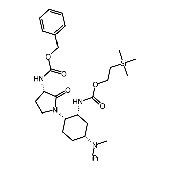 CC(C)N(C)[C@@H]1CC[C@H](N2CC[C@H](NC(=O)OCc3ccccc3)C2=O)[C@H](NC(=O)OCC[Si](C)(C)C)C1